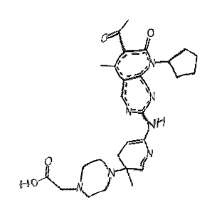 CC(=O)c1c(C)c2cnc(NC3=CCC(C)(N4CCN(CC(=O)O)CC4)C=N3)nc2n(C2CCCC2)c1=O